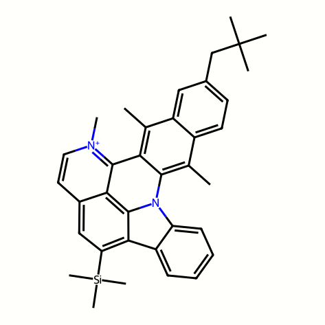 Cc1c2cc(CC(C)(C)C)ccc2c(C)c2c1c1c3c(cc[n+]1C)cc([Si](C)(C)C)c1c4ccccc4n2c13